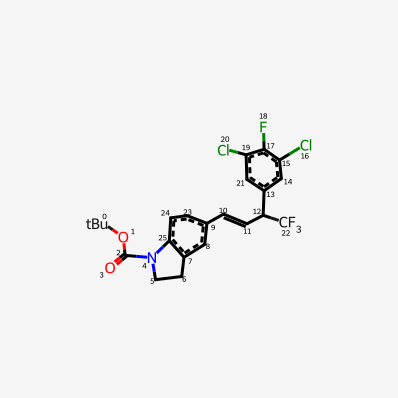 CC(C)(C)OC(=O)N1CCc2cc(C=CC(c3cc(Cl)c(F)c(Cl)c3)C(F)(F)F)ccc21